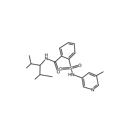 Cc1cncc(NS(=O)(=O)c2ccccc2C(=O)NC(C(C)C)C(C)C)c1